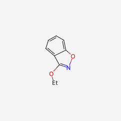 [CH2]COc1noc2ccccc12